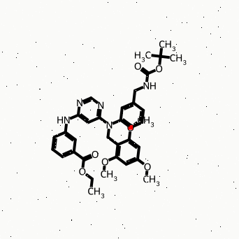 CCOC(=O)c1cccc(Nc2cc(N(Cc3c(OC)cc(OC)cc3OC)c3cccc(CNC(=O)OC(C)(C)C)c3)ncn2)c1